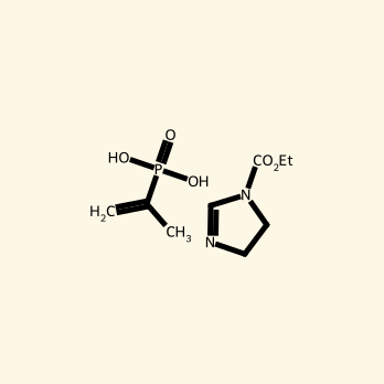 C=C(C)P(=O)(O)O.CCOC(=O)N1C=NCC1